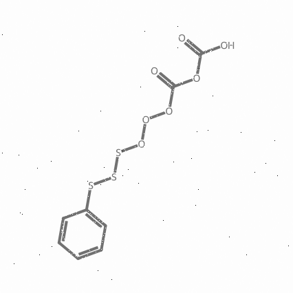 O=C(O)OC(=O)OOOSSSc1ccccc1